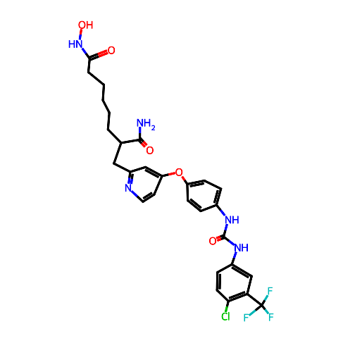 NC(=O)C(CCCCCC(=O)NO)Cc1cc(Oc2ccc(NC(=O)Nc3ccc(Cl)c(C(F)(F)F)c3)cc2)ccn1